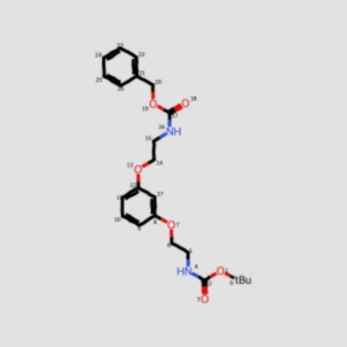 CC(C)(C)OC(=O)NCCOc1cccc(OCCNC(=O)OCc2ccccc2)c1